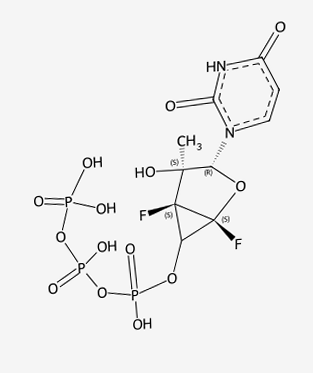 C[C@]1(O)[C@H](n2ccc(=O)[nH]c2=O)O[C@]2(F)C(OP(=O)(O)OP(=O)(O)OP(=O)(O)O)[C@]12F